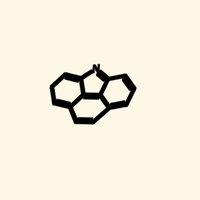 C1=C2N=c3cccc4ccc(c2c34)=CC1